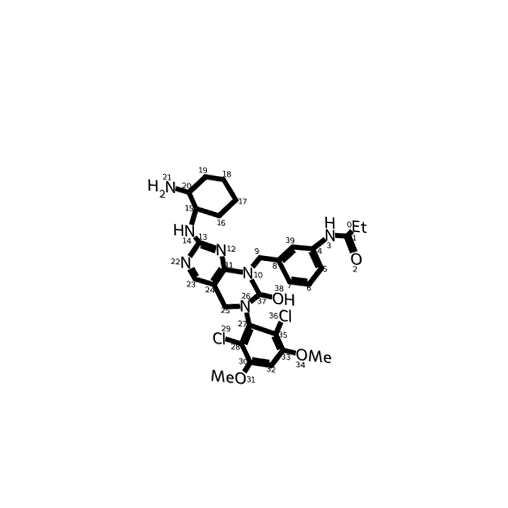 CCC(=O)Nc1cccc(CN2c3nc(NC4CCCCC4N)ncc3CN(c3c(Cl)c(OC)cc(OC)c3Cl)C2O)c1